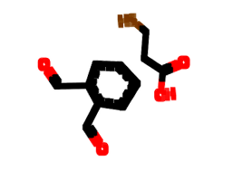 O=C(O)CCS.O=Cc1ccccc1C=O